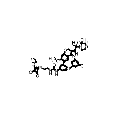 CCOc1c(NCCNC(=O)Nc2cccc(-c3cc4c(cc3OC)OCc3c(C(=O)N5CCOCC5(C)C)nn(-c5cc(Cl)cc(Cl)c5)c3-4)c2)c(=O)c1=O